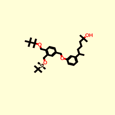 CC(CCCC(C)(C)O)c1cccc(OCc2ccc(COC(C)(C)C(C)(C)C)c(CO[Si](C)(C)C(C)(C)C)c2)c1